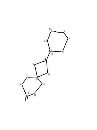 C1CCN(C2CC3(CCNCC3)C2)CC1